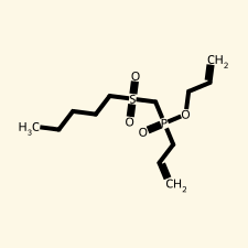 C=CCOP(=O)(CC=C)CS(=O)(=O)CCCCC